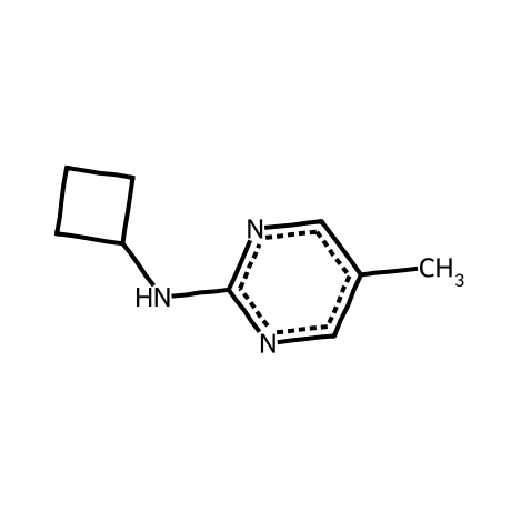 Cc1cnc(NC2CCC2)nc1